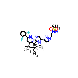 CC[C@@H]1CC(C)(C)[C@@](C)(c2cncc(-c3ccn(CCNS(C)(=O)=O)n3)n2)c2nnc(-c3c(F)cccc3F)cc21